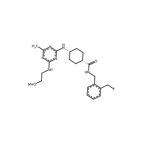 COCCNc1nc(C)nc(N[C@H]2CC[C@@H](C(=O)NCc3ccccc3CF)CC2)n1